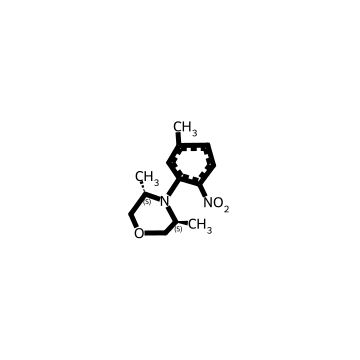 Cc1ccc([N+](=O)[O-])c(N2[C@@H](C)COC[C@@H]2C)c1